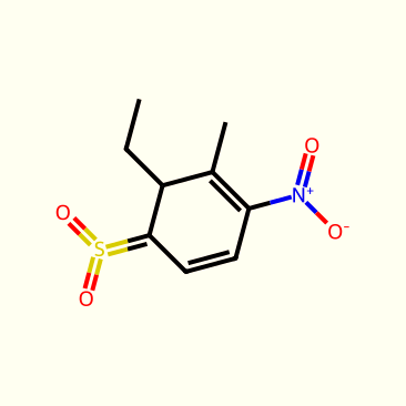 CCC1C(C)=C([N+](=O)[O-])C=CC1=S(=O)=O